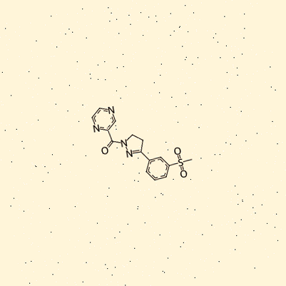 CS(=O)(=O)c1cccc(C2=NN(C(=O)c3cnccn3)CC2)c1